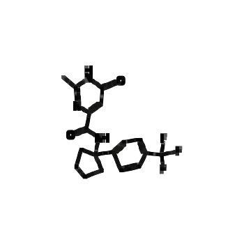 Cc1nc(C(=O)NC2(c3ccc(C(F)(F)F)cc3)CCCC2)cc(=O)[nH]1